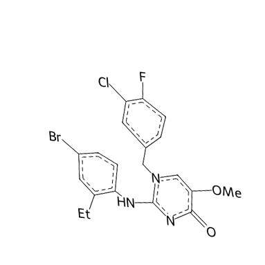 CCc1cc(Br)ccc1Nc1nc(=O)c(OC)cn1Cc1ccc(F)c(Cl)c1